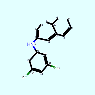 C\C=C/C(=C/C(=C\C)NC1C=C(F)C=C(F)C1)C(C)C